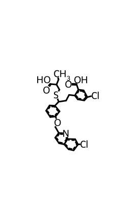 CCC(CSC(CCc1ccc(Cl)cc1C(=O)O)c1cccc(OCc2ccc3ccc(Cl)cc3n2)c1)C(=O)O